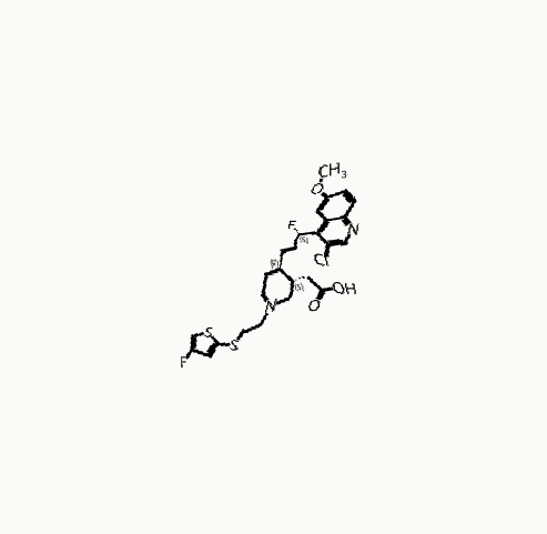 COc1ccc2ncc(Cl)c([C@@H](F)CC[C@@H]3CCN(CCSc4cc(F)cs4)C[C@H]3CC(=O)O)c2c1